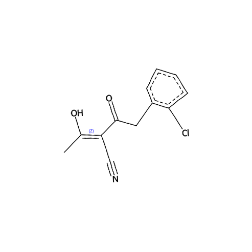 C/C(O)=C(\C#N)C(=O)Cc1ccccc1Cl